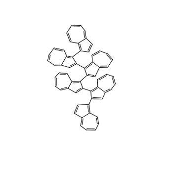 c1ccc2ccc(-c3cc4cccccc-4c3-c3cc4cccccc-4c3-c3cc4cccccc-4c3-c3cc4cccccc-4c3-c3ccc4cccccc3-4)c-2cc1